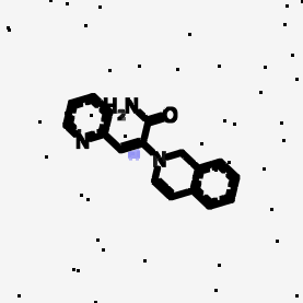 NC(=O)/C(=C\c1ccccn1)N1C=Cc2ccccc2C1